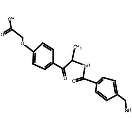 CC(NC(=O)c1ccc(CN)cc1)C(=O)c1ccc(OCC(=O)O)cc1